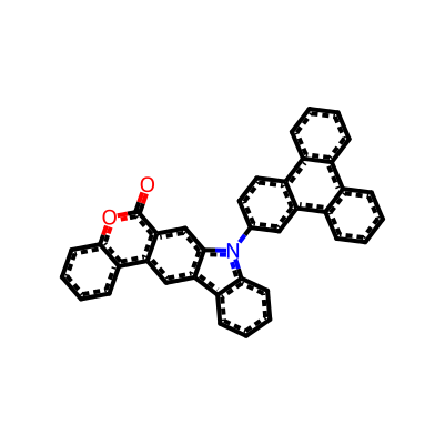 O=c1oc2ccccc2c2cc3c4ccccc4n(-c4ccc5c6ccccc6c6ccccc6c5c4)c3cc12